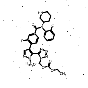 CCOC(=O)O[C@H](C)n1nnnc1-c1c(-c2ccc(C(=O)N(c3ncccc3Cl)[C@@H]3CCCNC3)cc2F)cnn1C